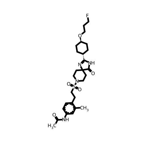 CC(=O)Nc1ccc(CCS(=O)(=O)N2CCC3(CC2)N=C([C@H]2CC[C@H](OCCCF)CC2)NC3=O)c(C)c1